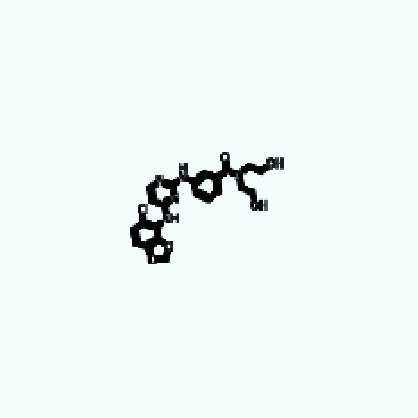 O=C(c1cccc(Nc2nccc(Nc3c(Cl)ccc4c3OCO4)n2)c1)N(CCO)CCO